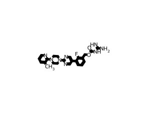 Cc1cccnc1N1CCN(c2ncc(-c3cccc(COC(=O)NC(=N)N)c3F)cn2)CC1